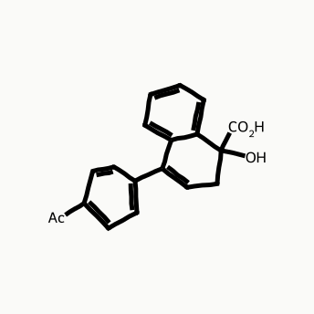 CC(=O)c1ccc(C2=CCC(O)(C(=O)O)c3ccccc32)cc1